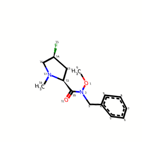 CON(Cc1ccccc1)C(=O)[C@@H]1C[C@H](F)CN1C